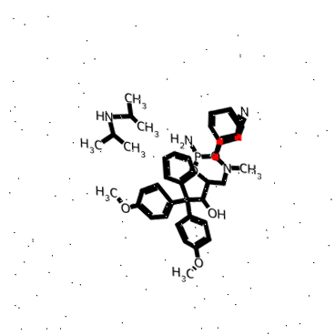 CC(C)NC(C)C.COc1ccc(C(c2ccccc2)(c2ccc(OC)cc2)C(O)C(CN(C)Cc2ccccc2)OP(N)OCCC#N)cc1